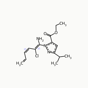 C=C/C=C\C(Cl)=C(/N)n1nc(C(C)C)cc1C(=O)OCC